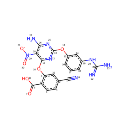 N#Cc1ccc(C(=O)O)c(Oc2nc(Oc3cccc(NC(=N)N)c3)nc(N)c2[N+](=O)[O-])c1